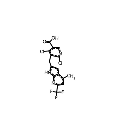 Cc1cc(C(F)(F)F)nc2[nH]c(Cc3c(Cl)ncc(C(=O)O)c3Cl)cc12